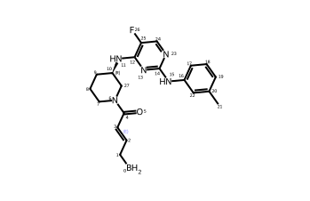 BC/C=C/C(=O)N1CCC[C@@H](Nc2nc(Nc3cccc(C)c3)ncc2F)C1